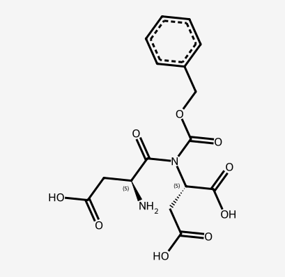 N[C@@H](CC(=O)O)C(=O)N(C(=O)OCc1ccccc1)[C@@H](CC(=O)O)C(=O)O